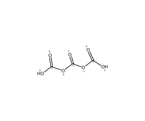 O=C(O)OC(=O)OC(=O)O